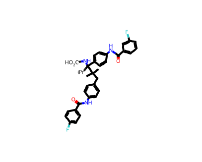 C[C](C)C(NC(=O)O)(c1ccc(NC(=O)c2cccc(F)c2)cc1)C(C)(C)Cc1ccc(NC(=O)c2ccc(F)cc2)cc1